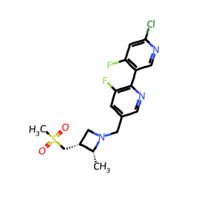 C[C@@H]1[C@H](CS(C)(=O)=O)CN1Cc1cnc(-c2cnc(Cl)cc2F)c(F)c1